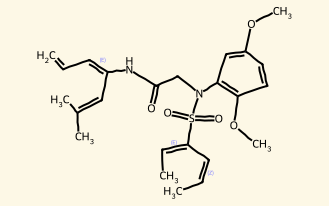 C=C/C=C(\C=C(C)C)NC(=O)CN(c1cc(OC)ccc1OC)S(=O)(=O)C(/C=C\C)=C/C